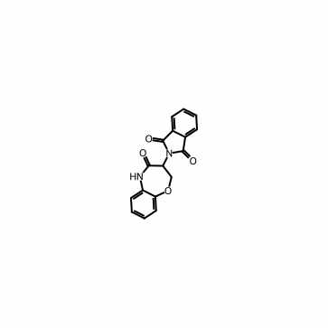 O=C1Nc2ccccc2OCC1N1C(=O)c2ccccc2C1=O